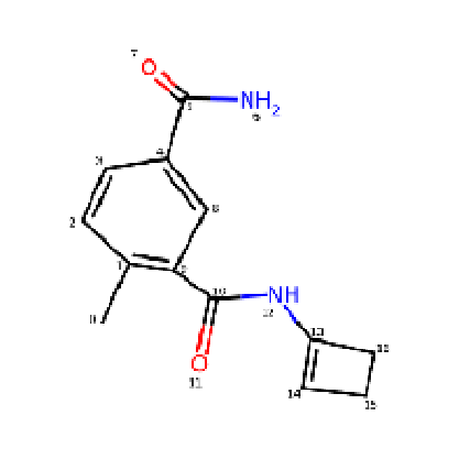 Cc1ccc(C(N)=O)cc1C(=O)NC1=CCC1